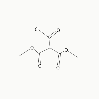 COC(=O)C(C(=O)Cl)C(=O)OC